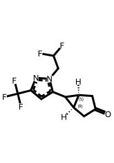 O=C1C[C@@H]2C(c3cc(C(F)(F)F)nn3CC(F)F)[C@@H]2C1